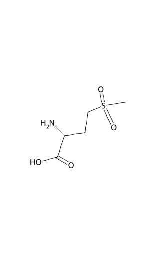 CS(=O)(=O)CC[C@@H](N)C(=O)O